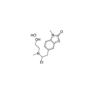 CCC(Cc1ccc2c(c1)sc(=O)n2C)N(C)CCO.Cl